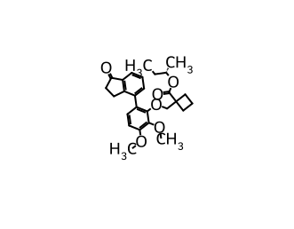 CC[C@H](C)OC(=O)C1(COc2c(-c3cccc4c3CCC4=O)ccc(OC)c2OC)CCC1